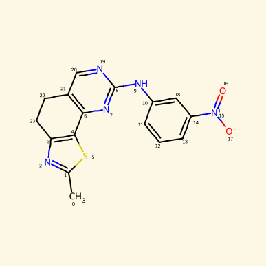 Cc1nc2c(s1)-c1nc(Nc3cccc([N+](=O)[O-])c3)ncc1CC2